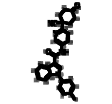 Cc1ccc(-n2cc(C(=O)Nc3ccc(C4(C#N)CCC(=O)CC4)nc3)c3ccccc32)cc1